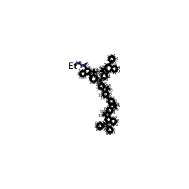 CC/C=C\C=C(/C)c1cc2c(c3ccccc13)C1=CCC=C(N(C3=CC=C4C5C=C(C=C(c6ccccc6)c6ccccc65)C(C)(C)C4C3)c3ccc4c(c3)C(C)(C)c3cc(C5=CCC6(C)C(=C5)c5cc7c(cc5C6(C)C)-c5c(cc(N(c6ccccc6)c6ccccc6)c6ccccc56)C7(C)C)ccc3-4)C=C1C2(C)C